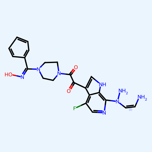 N/C=C\N(N)c1ncc(F)c2c(C(=O)C(=O)N3CCN(C(=NO)c4ccccc4)CC3)c[nH]c12